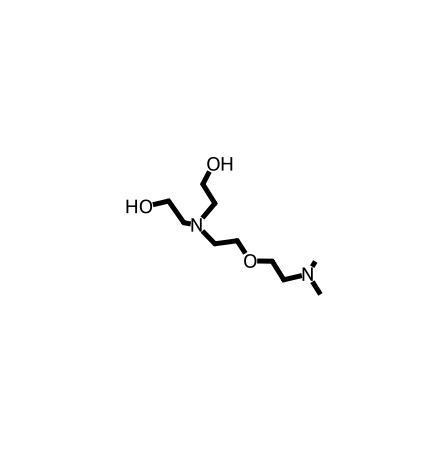 CN(C)CCOCCN(CCO)CCO